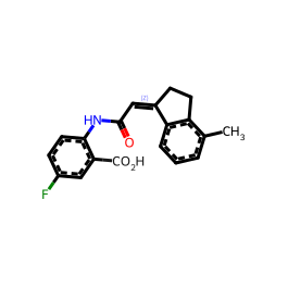 Cc1cccc2c1CC/C2=C/C(=O)Nc1ccc(F)cc1C(=O)O